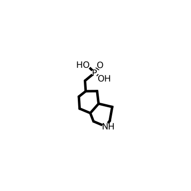 O=P(O)(O)CC1CCC2CNCCC2C1